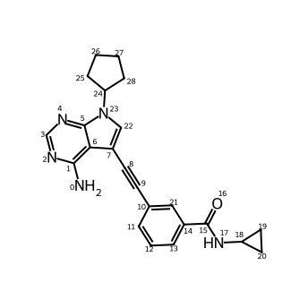 Nc1ncnc2c1c(C#Cc1cccc(C(=O)NC3CC3)c1)cn2C1CCCC1